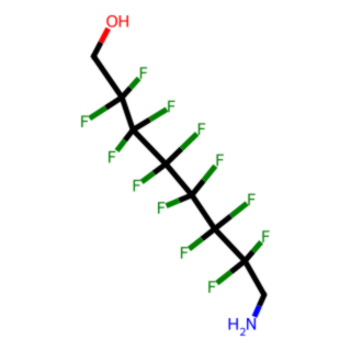 NCC(F)(F)C(F)(F)C(F)(F)C(F)(F)C(F)(F)C(F)(F)CO